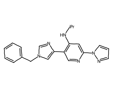 CC(C)Nc1cc(-n2cccn2)ncc1-c1cn(Cc2ccccc2)cn1